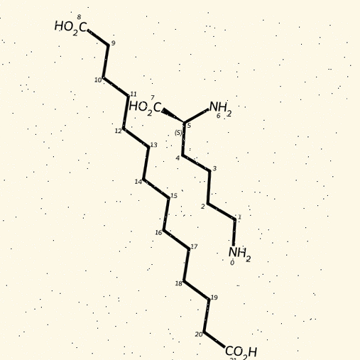 NCCCC[C@H](N)C(=O)O.O=C(O)CCCCCCCCCCCCC(=O)O